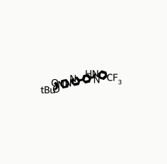 CC(C)(C)OC(=O)N1CCN(c2ccc(-c3ccc(-c4nc5cc(C(F)(F)F)ccc5[nH]4)cc3)cn2)CC1